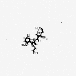 C/C=C\n1ncc(C(=O)Nc2cn(CCO)nc2-c2cc(Cl)ccc2OC)c1N